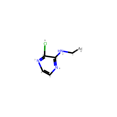 CC(=O)CNc1nccnc1Cl